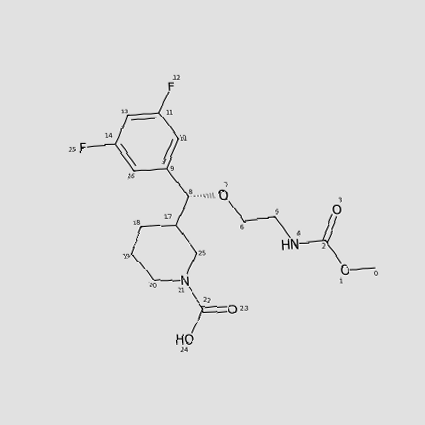 COC(=O)NCCO[C@@H](c1cc(F)cc(F)c1)C1CCCN(C(=O)O)C1